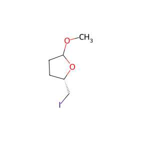 COC1CC[C@@H](CI)O1